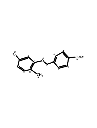 COc1ccc(COc2cc(Br)ccc2C)cc1